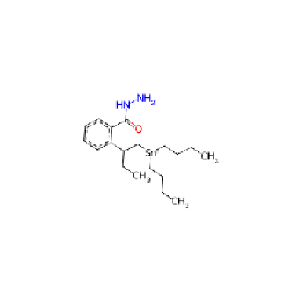 CCC[CH2][Sn]([CH2]CCC)[CH2]C(CC)c1ccccc1C(=O)NN